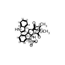 CN1C(=O)[C@]23C[C@]4(c5c[nH]c6ccccc56)c5ccccc5N([SH](=O)=O)[C@@H]4N2C(=O)[C@]1(C)SS3